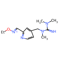 CCO/N=C/c1cc(CN(C)C(=N)N(C)C)ccn1